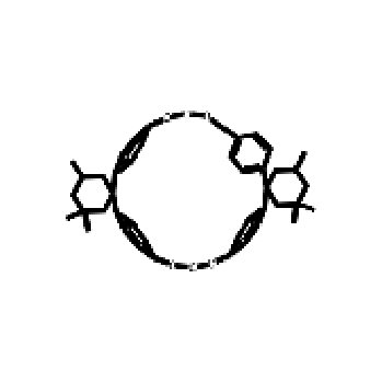 CC1CC(C)(C)CC2(C1)c1ccc(cc1)OCOc1ccc(cc1)C1(CC(C)CC(C)(C)C1)c1ccc(cc1)OCOc1ccc2cc1